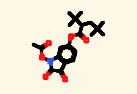 CC(=O)ON1C(=O)C(=O)c2ccc(OC(=O)C(CC(C)(C)C)C(C)(C)C)cc21